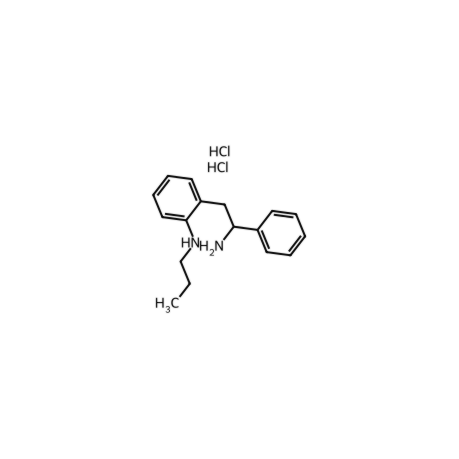 CCCNc1ccccc1CC(N)c1ccccc1.Cl.Cl